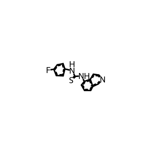 Fc1ccc(NC(=S)Nc2cccc3cnccc23)cc1